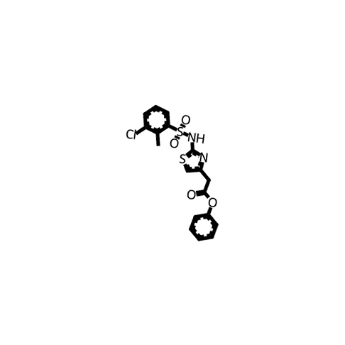 Cc1c(Cl)cccc1S(=O)(=O)Nc1nc(CC(=O)Oc2ccccc2)cs1